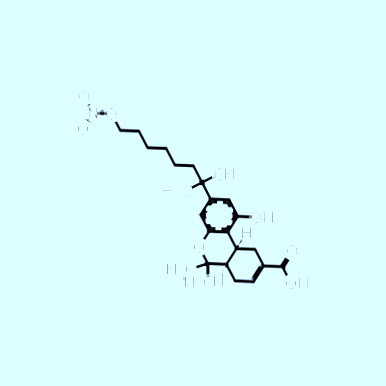 CC(C)(CCCCCCO[N+](=O)[O-])c1cc(O)c2c(c1)OC(C)(C)[C@@H]1CC=C(C(=O)O)C[C@@H]21